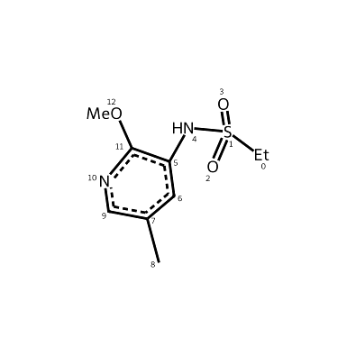 CCS(=O)(=O)Nc1cc(C)cnc1OC